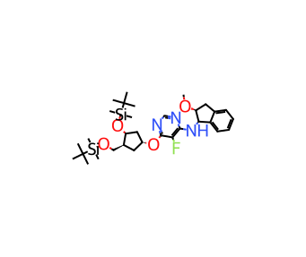 CO[C@H]1Cc2ccccc2[C@H]1Nc1ncnc(O[C@@H]2C[C@@H](CO[Si](C)(C)C(C)(C)C)[C@@H](O[Si](C)(C)C(C)(C)C)C2)c1F